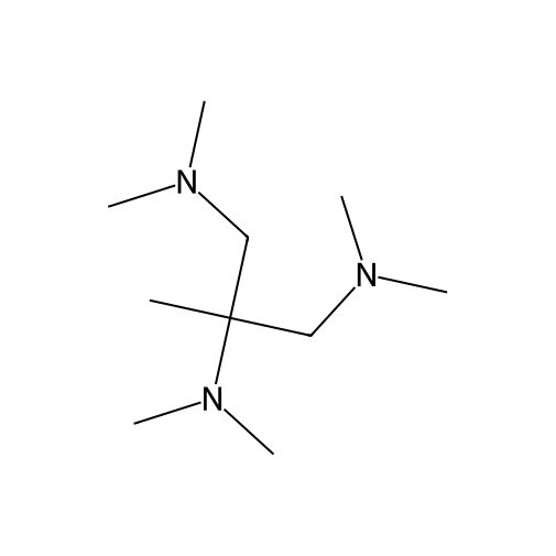 CN(C)CC(C)(CN(C)C)N(C)C